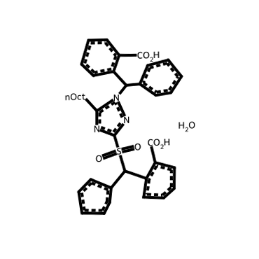 CCCCCCCCc1nc(S(=O)(=O)C(c2ccccc2)c2ccccc2C(=O)O)nn1C(c1ccccc1)c1ccccc1C(=O)O.O